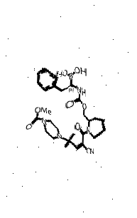 COC(=O)N1CCN(C(C)(C)C=C(C#N)C(=O)N2CCCCC2COC(=O)N[C@@H](Cc2ccccc2)B(O)O)CC1